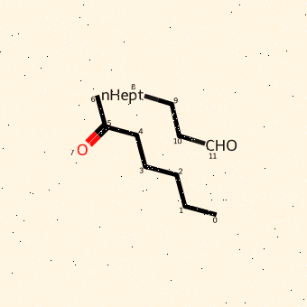 CCCCCC(C)=O.CCCCCCCCCC=O